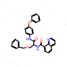 O=C(NC(COCc1ccccc1)C(=O)Nc1ccc(Oc2ccccc2)cc1)c1cccc2cccnc12